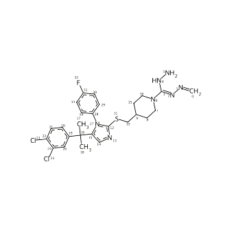 C=N/N=C(\NN)N1CCC(CSc2ncc(C(C)(C)c3ccc(Cl)c(Cl)c3)n2-c2ccc(F)cc2)CC1